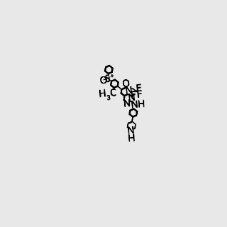 Cc1cc([S+]([O-])c2ccccc2)ccc1-c1cc2cnc(Nc3ccc(C4=CCNCC4)cc3)nc2n(CC(F)(F)F)c1=O